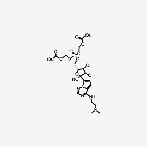 CN(C)CCNc1ncnn2c([C@]3(C#N)O[C@H](COP(=O)(OCOC(=O)C(C)(C)C)OCOC(=O)C(C)(C)C)[C@@H](O)[C@H]3O)ccc12